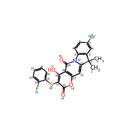 CC1(C)c2cc(Br)ccc2-n2c1cc1oc(=O)c(Sc3ccccc3F)c(O)c1c2=O